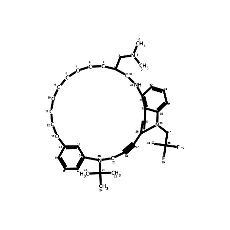 CN(C)CC1CCOCCOCCOc2cccc(c2)N(C(C)(C)C)CC#Cc2cc3c(cccc3n2CC(F)(F)F)NC1